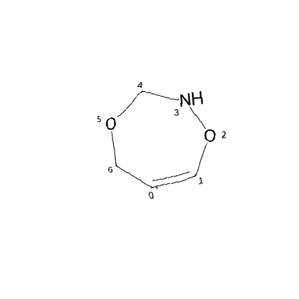 [C]1=CONCOC1